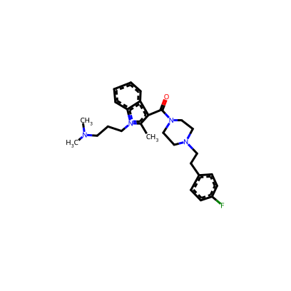 Cc1c(C(=O)N2CCN(CCc3ccc(F)cc3)CC2)c2ccccc2n1CCCN(C)C